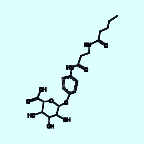 CCCCC(=O)NCCC(=O)Nc1ccc(OC2OC(C(=O)O)C(O)C(O)C2O)cc1